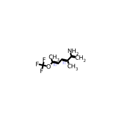 C=C(N)/C(C)=C/C=C(\C)OC(F)(F)F